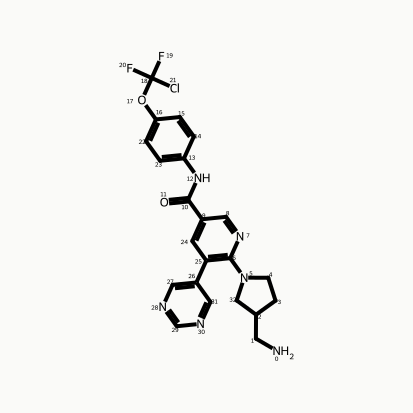 NCC1CCN(c2ncc(C(=O)Nc3ccc(OC(F)(F)Cl)cc3)cc2-c2cncnc2)C1